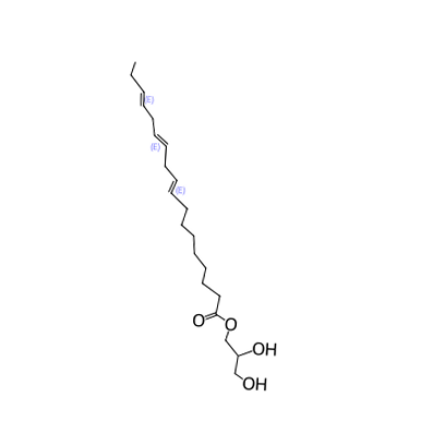 CC/C=C/C/C=C/C/C=C/CCCCCCCC(=O)OCC(O)CO